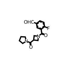 O=Cc1ccc(F)c(C(=O)N2CC(C(=O)N3CCCC3)C2)c1